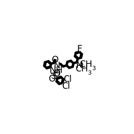 CN(C)C(c1ccc(F)cc1)C1CCC(CCNC(=O)c2ccccc2NCS(=O)(=O)c2ccc(Cl)c(Cl)c2)CC1